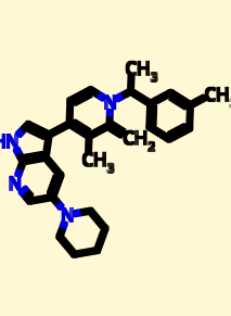 C=C1C(C)=C(c2c[nH]c3ncc(N4CCCCC4)cc23)C=CN1C(C)c1cccc(C)c1